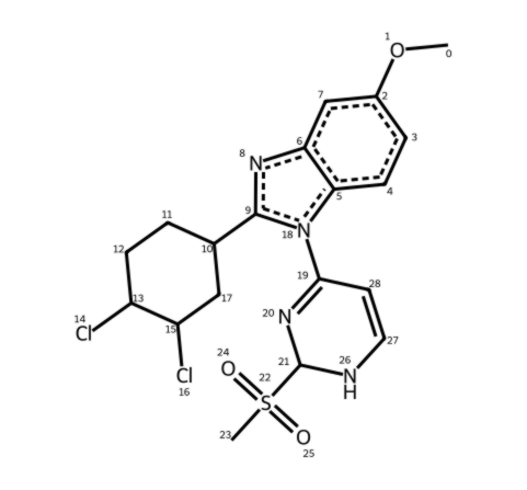 COc1ccc2c(c1)nc(C1CCC(Cl)C(Cl)C1)n2C1=NC(S(C)(=O)=O)NC=C1